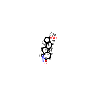 CCCC[C@]1(O)CC[C@H]2[C@@H]3CC[C@H]4NC(=O)CC[C@]4(C)[C@H]3CC[C@@]21C